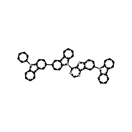 c1ccc(-n2c3ccccc3c3cc(-c4ccc5c(c4)c4ccccc4n5-c4ncnc5c4sc4ccc(-n6c7ccccc7c7ccccc76)cc45)ccc32)cc1